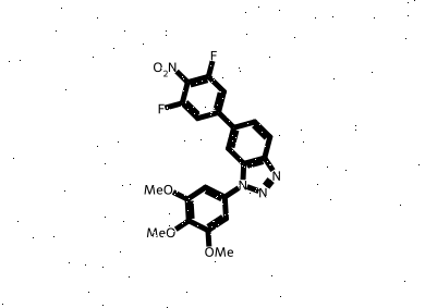 COc1cc(-n2nnc3ccc(-c4cc(F)c([N+](=O)[O-])c(F)c4)cc32)cc(OC)c1OC